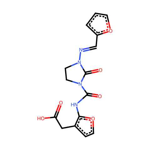 O=C(O)Cc1ccoc1NC(=O)N1CCN(N=Cc2ccco2)C1=O